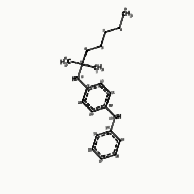 CCCCCC(C)(C)Nc1ccc(Nc2ccccc2)cc1